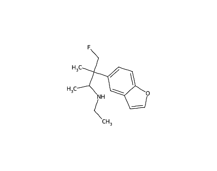 CCNC(C)C(C)(CF)c1ccc2occc2c1